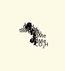 CCC(C)C(C(CC(=O)N1CCC[C@H]1C(OC)C(C)C(=O)O)OC)N(C)C(=O)C(NC(=O)[C@@H]1[C@H]2CC[C@H](C2)N1C(=O)OC(C)(C)C)C(C)C